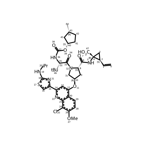 C=C[C@@H]1C[C@]1(NC(=O)[C@@H]1C[C@@H](Oc2cc(-c3csc(NC(C)C)n3)nc3c(Cl)c(OC)ccc23)CN1C(=O)[C@@H](NC(=O)O[C@H]1CC[C@@H](C)C1)C(C)(C)C)C(=O)O